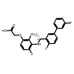 C[C@@H](Nc1c(F)ccc(OCC(=O)O)c1F)c1cc(-c2cccc(F)c2)ccc1F